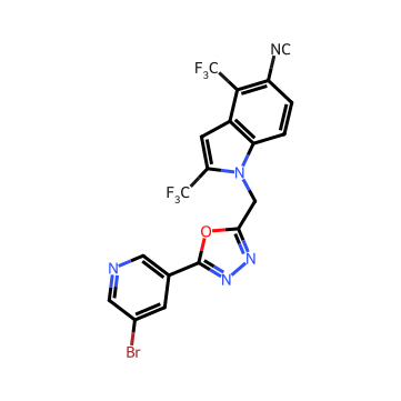 [C-]#[N+]c1ccc2c(cc(C(F)(F)F)n2Cc2nnc(-c3cncc(Br)c3)o2)c1C(F)(F)F